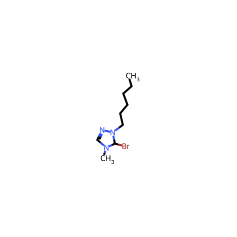 CCCCCCN1N=CN(C)C1Br